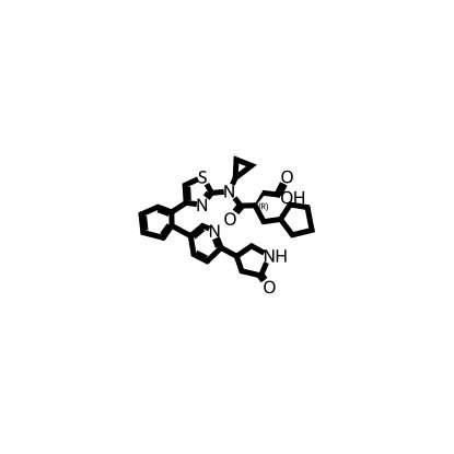 O=C(O)C[C@@H](CC1CCCC1)C(=O)N(c1nc(-c2ccccc2-c2ccc(C3CNC(=O)C3)nc2)cs1)C1CC1